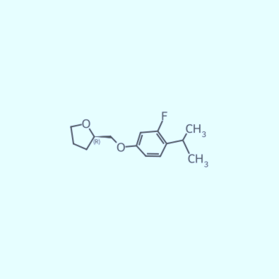 CC(C)c1ccc(OC[C@H]2CCCO2)cc1F